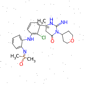 C[C@@]1(c2cccc(Nc3ccccc3N=S(C)(C)=O)c2Cl)CC(=O)N(C2CCOCC2)C(=N)N1